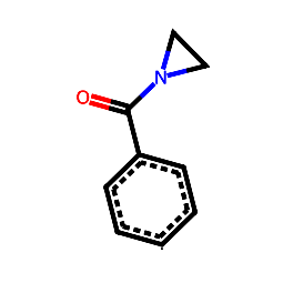 O=C(c1cc[c]cc1)N1CC1